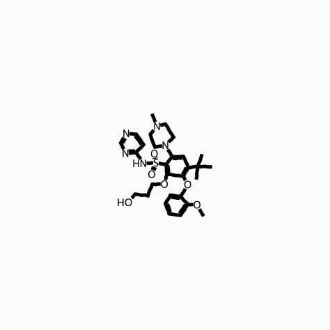 COc1ccccc1Oc1c(C(C)(C)C)cc(N2CCN(C)CC2)c(S(=O)(=O)Nc2ccncn2)c1OCCCO